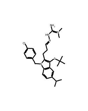 CC(C)c1ccc2c(c1)c(SC(C)(C)C)c(CCC=NNC(N)=[N+](C)C)n2Cc1ccc(Cl)cc1